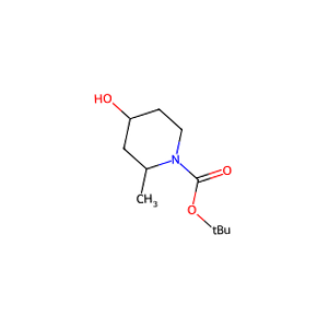 CC1CC(O)CCN1C(=O)OC(C)(C)C